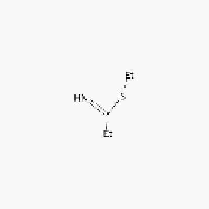 CCSC(=N)CC